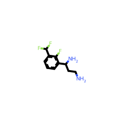 NCCC(N)c1cccc(C(F)F)c1F